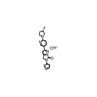 O=C1N(c2ccns2)Cc2cc(-c3ccc(N4CC[C@H](F)C4)nc3)nn21.[Cl-].[H+]